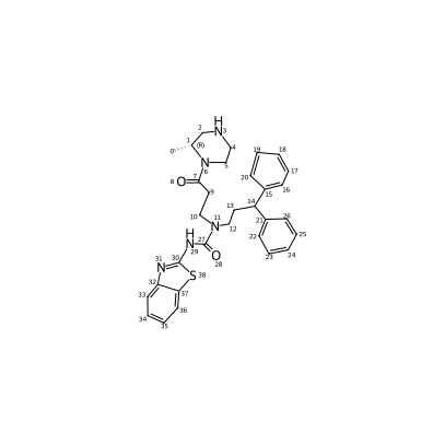 C[C@@H]1CNCCN1C(=O)CCN(CCC(c1ccccc1)c1ccccc1)C(=O)Nc1nc2ccccc2s1